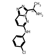 C[C@@H](N)c1nnc2ccc(Nc3cccc(Cl)c3)nn12